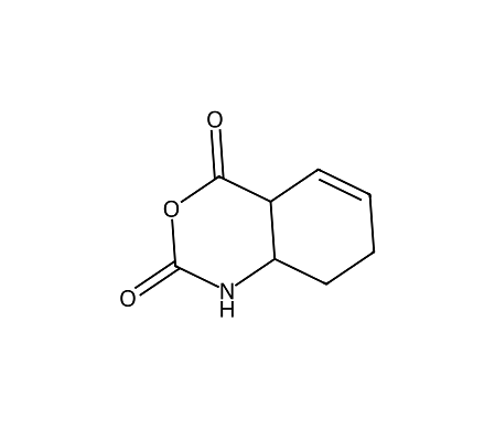 O=C1NC2CCC=CC2C(=O)O1